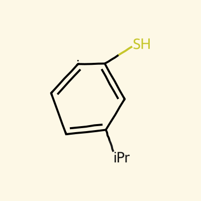 CC(C)c1cc[c]c(S)c1